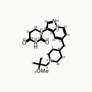 COC(C)(C)CN1CCC(Cc2ccn3ncc(N4CCC(=O)NC4=O)c3c2)CC1